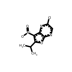 CC(C)c1oc2ncc(Cl)nc2c1[N+](=O)[O-]